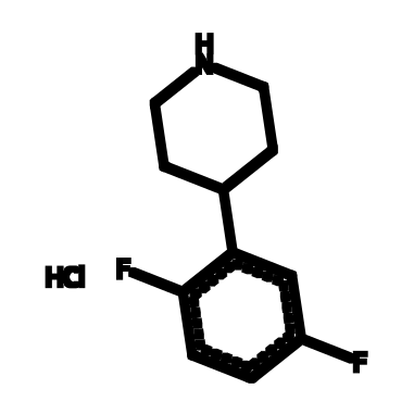 Cl.Fc1ccc(F)c(C2CCNCC2)c1